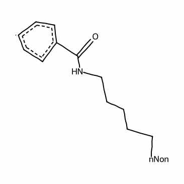 CCCCCCCCCCCCCCNC(=O)c1cc[c]cc1